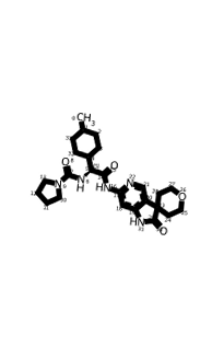 CC1CCC([C@H](NC(=O)N2CCCC2)C(=O)Nc2cc3c(cn2)C2(CCOCC2)C(=O)N3)CC1